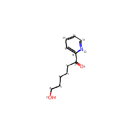 O=C(CCCCCO)c1ccccn1